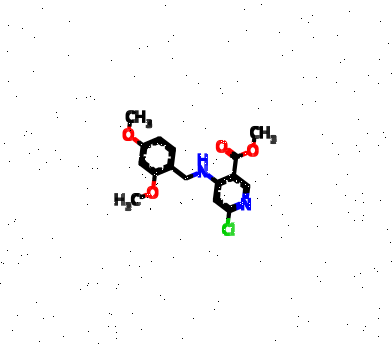 COC(=O)c1cnc(Cl)cc1NCc1ccc(OC)cc1OC